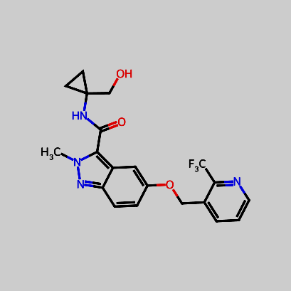 Cn1nc2ccc(OCc3cccnc3C(F)(F)F)cc2c1C(=O)NC1(CO)CC1